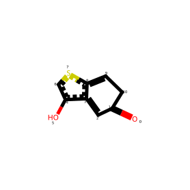 O=C1C=c2c(O)csc2=CC1